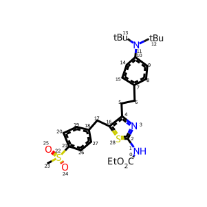 CCOC(=O)Nc1nc(CCc2ccc(N(C(C)(C)C)C(C)(C)C)cc2)c(Cc2ccc(S(C)(=O)=O)cc2)s1